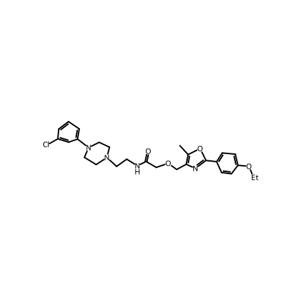 CCOc1ccc(-c2nc(COCC(=O)NCCN3CCN(c4cccc(Cl)c4)CC3)c(C)o2)cc1